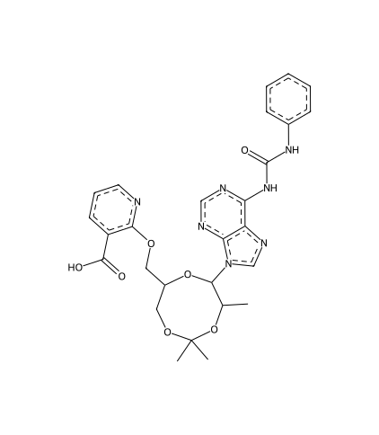 CC1OC(C)(C)OCC(COc2ncccc2C(=O)O)OC1n1cnc2c(NC(=O)Nc3ccccc3)ncnc21